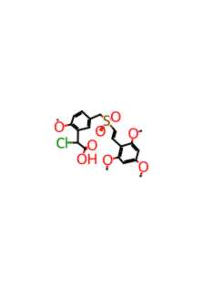 COc1cc(OC)c(/C=C/S(=O)(=O)Cc2ccc(OC)c(C(Cl)C(=O)O)c2)c(OC)c1